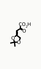 CC1(C)OC/C(=C\C(=O)C(=O)O)O1